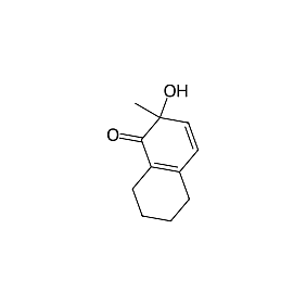 CC1(O)C=CC2=C(CCCC2)C1=O